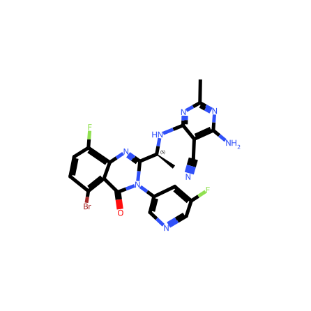 Cc1nc(N)c(C#N)c(N[C@@H](C)c2nc3c(F)ccc(Br)c3c(=O)n2-c2cncc(F)c2)n1